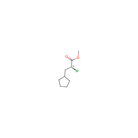 COC(=O)[C@@H](Br)CC1CCCC1